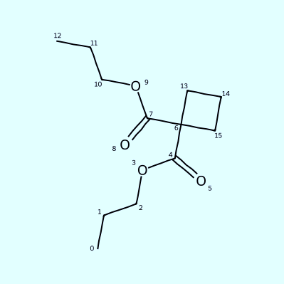 CCCOC(=O)C1(C(=O)OCCC)CCC1